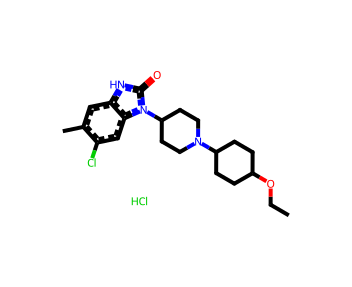 CCOC1CCC(N2CCC(n3c(=O)[nH]c4cc(C)c(Cl)cc43)CC2)CC1.Cl